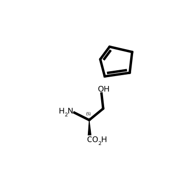 C1=CCC=C1.N[C@@H](CO)C(=O)O